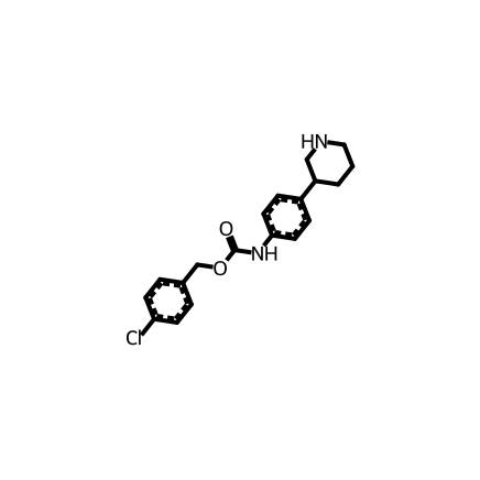 O=C(Nc1ccc(C2CCCNC2)cc1)OCc1ccc(Cl)cc1